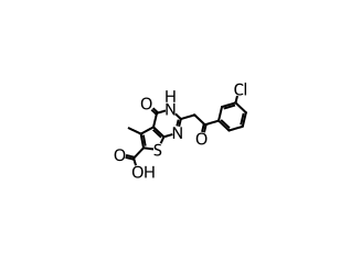 Cc1c(C(=O)O)sc2nc(CC(=O)c3cccc(Cl)c3)[nH]c(=O)c12